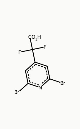 O=C(O)C(F)(F)c1cc(Br)nc(Br)c1